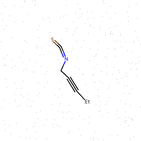 CCC#CCN=C=S